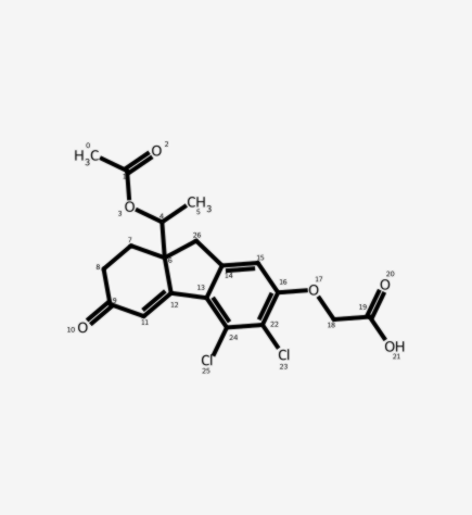 CC(=O)OC(C)C12CCC(=O)C=C1c1c(cc(OCC(=O)O)c(Cl)c1Cl)C2